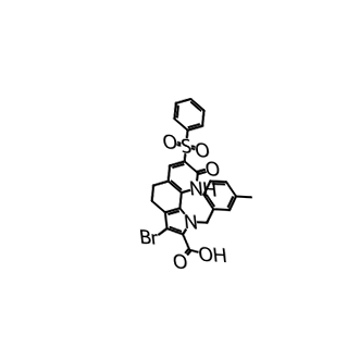 Cc1cccc(Cn2c(C(=O)O)c(Br)c3c2-c2[nH]c(=O)c(S(=O)(=O)c4ccccc4)cc2CC3)c1